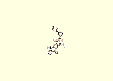 CC(C)(NC(=O)c1cc2[nH]c3ccccc3c(=O)c2cc1P)c1cccc(N2CCSCC2)c1